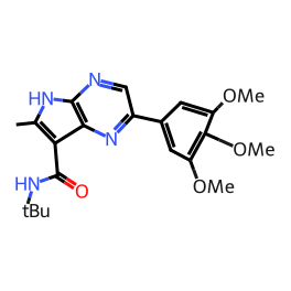 COc1cc(-c2cnc3[nH]c(C)c(C(=O)NC(C)(C)C)c3n2)cc(OC)c1OC